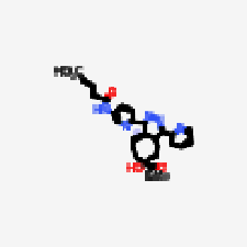 CNC(=O)[C@@]1(O)CC/C=C2/C(c3ccc(NC(=O)CCCC(=O)O)cn3)=NN=C(c3ccccn3)C2CC1